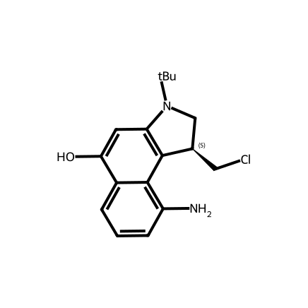 CC(C)(C)N1C[C@@H](CCl)c2c1cc(O)c1cccc(N)c21